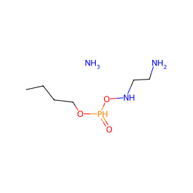 CCCCO[PH](=O)ONCCN.N